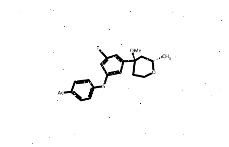 CO[C@]1(c2cc(F)cc(Sc3ccc(C(C)=O)cc3)c2)CCO[C@@H](C)C1